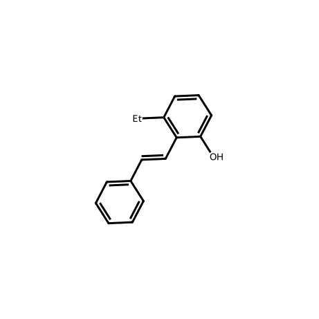 CCc1cccc(O)c1C=Cc1ccccc1